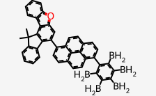 Bc1c(B)c(B)c(-c2ccc3ccc4c(-c5cc6oc7ccccc7c6c6c5-c5ccccc5C6(C)C)ccc5ccc2c3c54)c(B)c1B